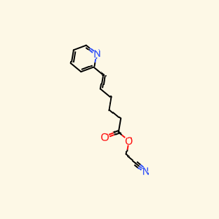 N#CCOC(=O)CCC/C=C/c1ccccn1